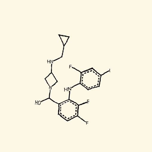 OC(c1ccc(F)c(F)c1Nc1ccc(I)cc1F)N1CC(NCC2CC2)C1